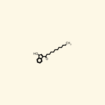 CCCCCCCCCCCC(=O)C1=CC(O)c2ccccc21